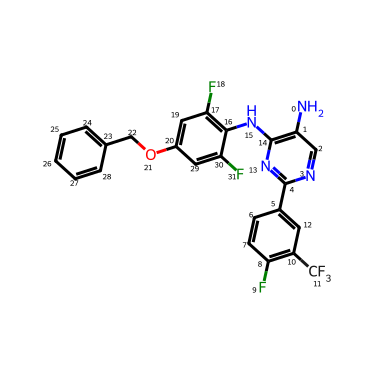 Nc1cnc(-c2ccc(F)c(C(F)(F)F)c2)nc1Nc1c(F)cc(OCc2ccccc2)cc1F